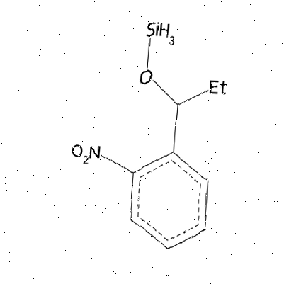 CCC(O[SiH3])c1ccccc1[N+](=O)[O-]